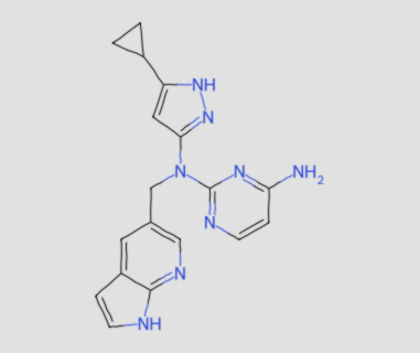 Nc1ccnc(N(Cc2cnc3[nH]ccc3c2)c2cc(C3CC3)[nH]n2)n1